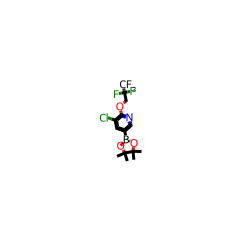 CC1(C)OB(c2cnc(OCC(F)(F)C(F)(F)F)c(Cl)c2)OC1(C)C